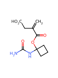 C=C(CC(=O)O)C(=O)OC1(NC(N)=O)CCC1